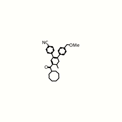 COCc1ccc(C2=C(c3ccc(C#N)cc3)C=C(C(=O)C3CCCCCCC3)C(C)C2)cc1